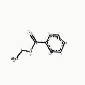 [CH2]C(C)(C)COC(=O)c1ccccc1